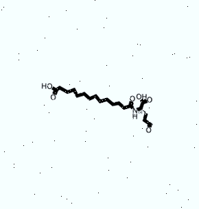 O=[C]CC[C@H](NC(=O)CCCCCCCCCCCCC(=O)O)C(=O)O